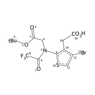 CC(C)(C)OC(=O)CN(C(=O)C(F)(F)F)c1scc(Br)c1CC(=O)O